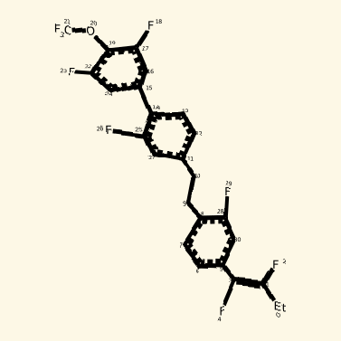 CC/C(F)=C(\F)c1ccc(CCc2ccc(-c3cc(F)c(OC(F)(F)F)c(F)c3)c(F)c2)c(F)c1